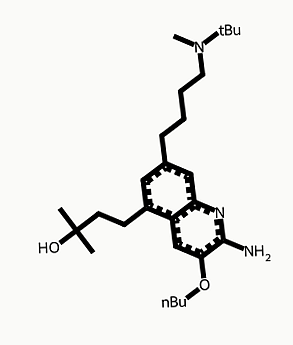 CCCCOc1cc2c(CCC(C)(C)O)cc(CCCCN(C)C(C)(C)C)cc2nc1N